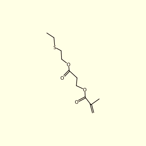 C=C(C)C(=O)OCCC(=O)OCCSCC